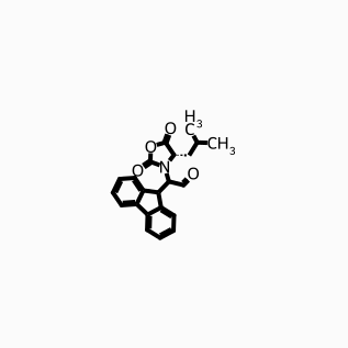 CC(C)C[C@H]1C(=O)OC(=O)N1C(C=O)C1c2ccccc2-c2ccccc21